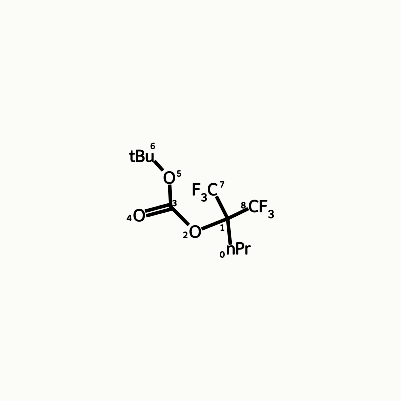 CCCC(OC(=O)OC(C)(C)C)(C(F)(F)F)C(F)(F)F